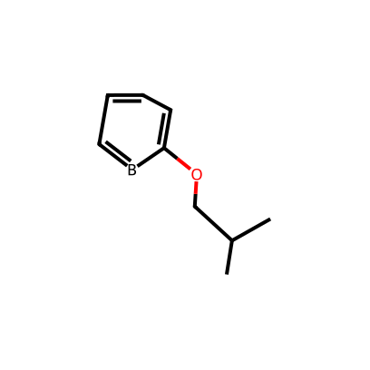 CC(C)COc1bcccc1